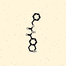 O=C(NC(=O)c1ccc2c(c1)CCNC2)OCc1ccccc1